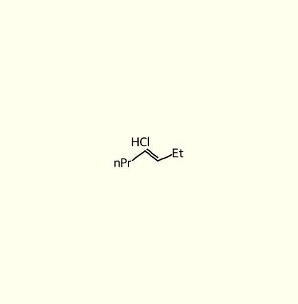 CCC=CCCC.Cl